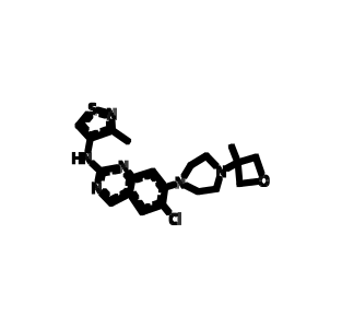 Cc1nscc1Nc1ncc2cc(Cl)c(N3CCN(C4(C)COC4)CC3)cc2n1